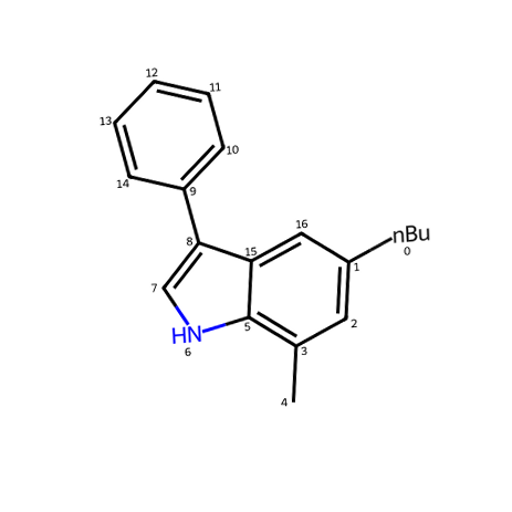 CCCCc1cc(C)c2[nH]cc(-c3ccccc3)c2c1